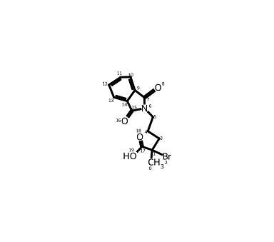 CC(Br)(CCCN1C(=O)c2ccccc2C1=O)C(=O)O